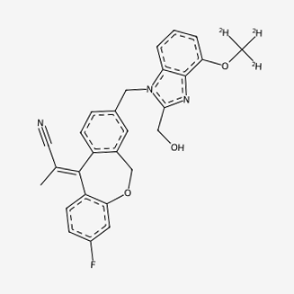 [2H]C([2H])([2H])Oc1cccc2c1nc(CO)n2Cc1ccc2c(c1)COc1cc(F)ccc1/C2=C(\C)C#N